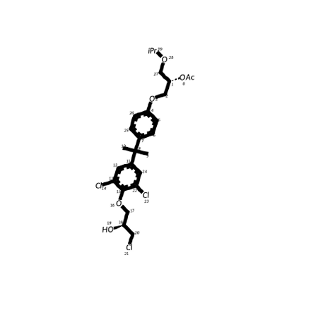 CC(=O)O[C@H](COc1ccc(C(C)(C)c2cc(Cl)c(OC[C@H](O)CCl)c(Cl)c2)cc1)COC(C)C